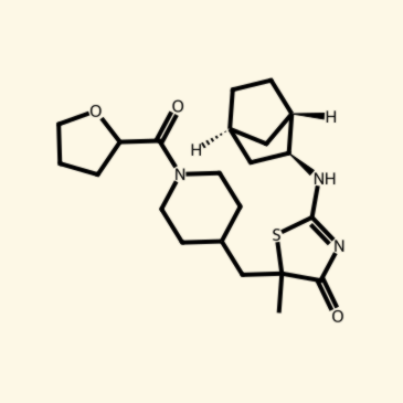 CC1(CC2CCN(C(=O)C3CCCO3)CC2)SC(N[C@H]2C[C@H]3CC[C@H]2C3)=NC1=O